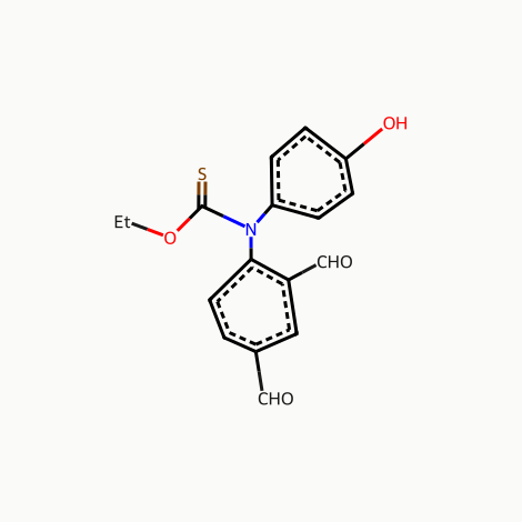 CCOC(=S)N(c1ccc(O)cc1)c1ccc(C=O)cc1C=O